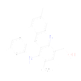 COc1c(C)c(CO)c2nc3cc(C)ccc3cc2c1Nc1ccccc1